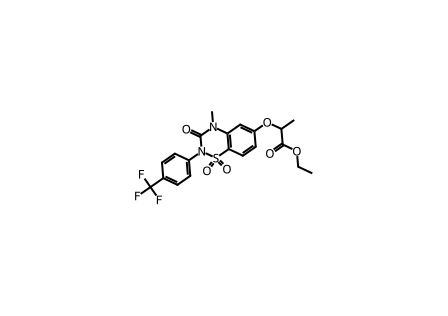 CCOC(=O)C(C)Oc1ccc2c(c1)N(C)C(=O)N(c1ccc(C(F)(F)F)cc1)S2(=O)=O